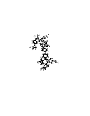 Cc1ncsc1-c1ccc([C@H](C)NC(=O)[C@@H]2C[C@@H](O)CN2C(=O)[C@@H](NC(=O)c2ccc(-c3ccc(C4=N[C@@H](CC(=O)O)c5nnc(C)n5-c5sc(C)c(C)c54)cc3)cc2)C(C)(C)C)cc1